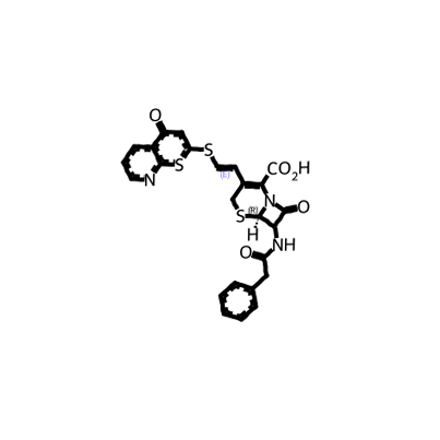 O=C(Cc1ccccc1)NC1C(=O)N2C(C(=O)O)=C(/C=C/Sc3cc(=O)c4cccnc4s3)CS[C@H]12